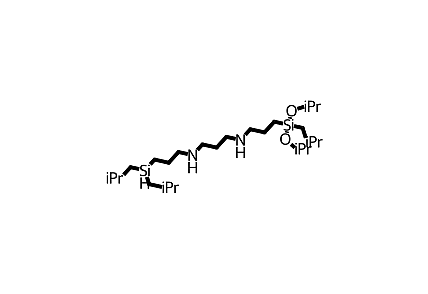 CC(C)C[SiH](CCCNCCCNCCC[Si](CC(C)C)(OC(C)C)OC(C)C)CC(C)C